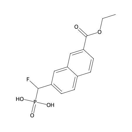 CCOC(=O)c1ccc2ccc(C(F)P(=O)(O)O)cc2c1